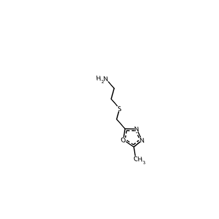 Cc1nnc(CSCCN)o1